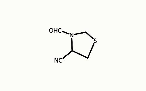 N#CC1CSCN1C=O